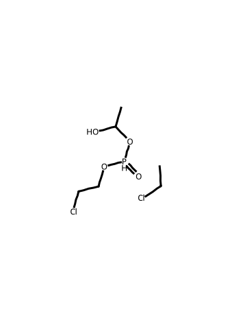 CC(O)O[PH](=O)OCCCl.CCCl